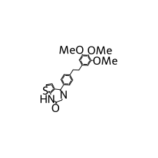 COc1cc(CCc2ccc(C3=NCC(=O)Nc4sccc43)cc2)cc(OC)c1OC